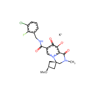 CO[C@H]1C[C@@]2(CN(C)C(=O)c3c([O-])c(=O)c(C(=O)NCc4cccc(Cl)c4F)cn32)C1.[K+]